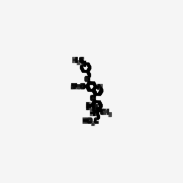 COc1cc2c(OC(/C=C\C(C)(C)NCC(=O)O)=C(/C)F)ccnc2cc1OCC1CCN(C)CC1